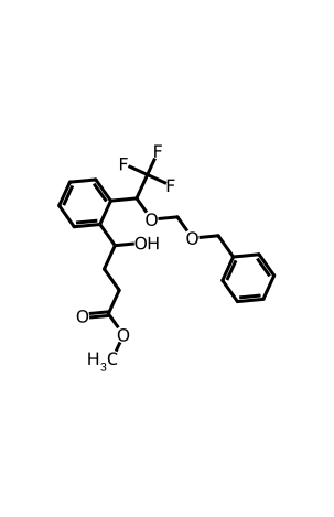 COC(=O)CCC(O)c1ccccc1C(OCOCc1ccccc1)C(F)(F)F